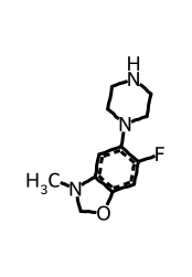 CN1COc2cc(F)c(N3CCNCC3)cc21